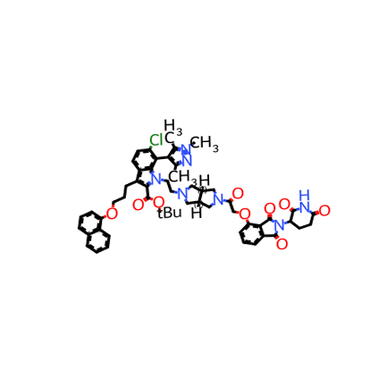 Cc1nn(C)c(C)c1-c1c(Cl)ccc2c(CCCOc3cccc4ccccc34)c(C(=O)OC(C)(C)C)n(CCN3C[C@@H]4CN(C(=O)COc5cccc6c5C(=O)N(C5CCC(=O)NC5=O)C6=O)C[C@@H]4C3)c12